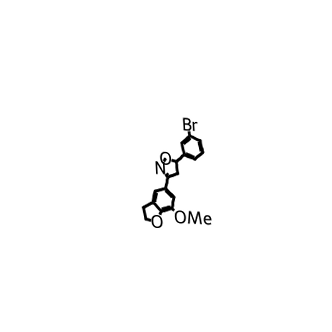 COc1cc(C2=NOC(c3cccc(Br)c3)C2)cc2c1OCC2